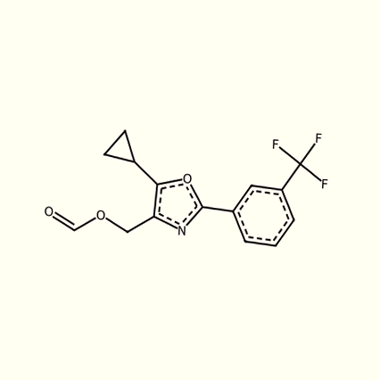 O=COCc1nc(-c2cccc(C(F)(F)F)c2)oc1C1CC1